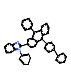 C1=CC(n2c(-c3ccc4c(-c5ccc(-c6ccccc6)cc5)c5ccccc5c(-c5ccccc5)c4c3)nc3ccccc32)=CCC1